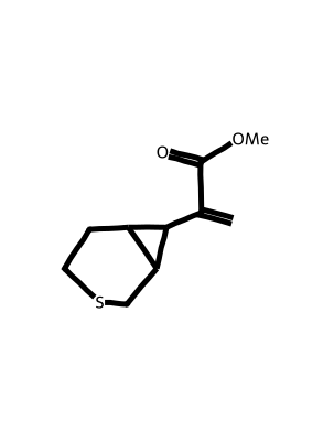 C=C(C(=O)OC)C1C2CCSCC21